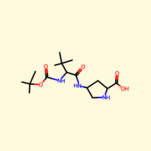 CC(C)(C)OC(=O)NC(C(=O)NC1CNC(C(=O)O)C1)C(C)(C)C